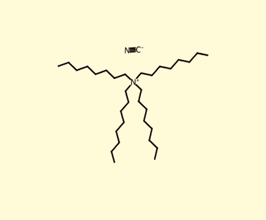 CCCCCCCC[N+](CCCCCCCC)(CCCCCCCC)CCCCCCCC.[C-]#N